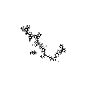 CN(CCCCCC(=O)N(C)CCN1CCC(OC(=O)Nc2ccccc2-c2ccccc2)CC1)CCc1ccc(C(=O)N(C)CCCN(C)C(=O)CO[C@H]2Cc3ccccc3C23CCN(CC[C@]2(c4ccc(F)cc4)CN(C(=O)c4cc(C(F)(F)F)cc(C(F)(F)F)c4)CO2)CC3)cc1.Cl.Cl.Cl